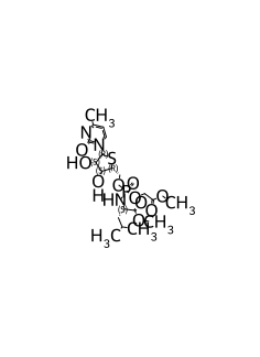 COC(=O)COP(=O)(N[C@@H](CC(C)C)C(=O)OC)OC[C@H]1S[C@@H](n2ccc(C)nc2=O)[C@@H](O)[C@@H]1O